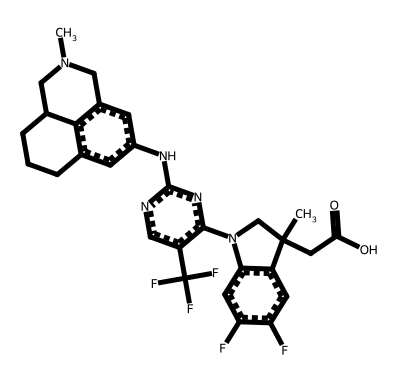 CN1Cc2cc(Nc3ncc(C(F)(F)F)c(N4CC(C)(CC(=O)O)c5cc(F)c(F)cc54)n3)cc3c2C(CCC3)C1